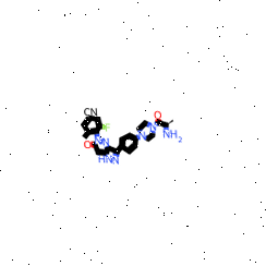 Cc1cc(C#N)cc(F)c1-n1nc2c(-c3ccc(N4CCN(C(=O)[C@H](C)N)CC4)cc3)n[nH]c2cc1=O